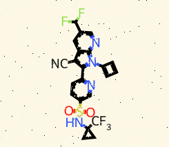 N#Cc1c(-c2ccc(S(=O)(=O)NC3(C(F)(F)F)CC3)cn2)n(C2=CC=C2)c2ncc(C(F)F)cc12